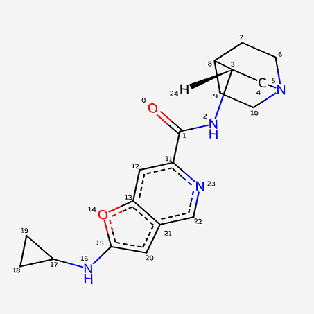 O=C(N[C@H]1CN2CCC1CC2)c1cc2oc(NC3CC3)cc2cn1